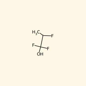 C[C](F)C(O)(F)F